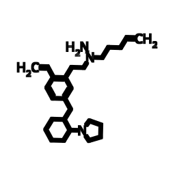 C=CCCCN(N)CCc1cc(CC2CCCCC2N2CCCC2)ccc1C=C